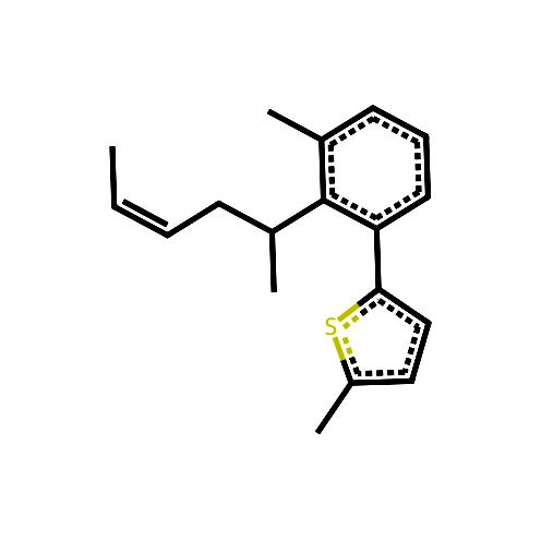 C/C=C\CC(C)c1c(C)cccc1-c1ccc(C)s1